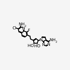 Nc1nc2c(F)c(CCC3=CC(n4ccc5c(N)ncnc54)[C@@H](O)C3O)ccc2cc1Cl